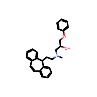 CN(CCC1c2ccccc2C=Cc2ccccc21)CC(O)COc1ccccc1